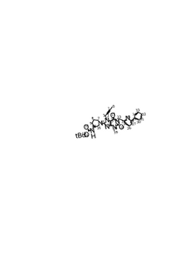 CC#CCn1c(N2CCC[C@@H](NC(=O)OC(C)(C)C)C2)nc2c1c(=O)n(Cc1cccc(-c3ccccc3)n1)c(=O)n2C